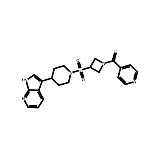 O=C(c1ccncc1)N1CC(S(=O)(=O)N2CCC(c3c[nH]c4ncccc34)CC2)C1